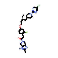 CC[C@@H](CCOc1ccc(CC(=O)N2Cc3nc(C)[nH]c3C2)c(F)c1)CC1CCN(c2ncc(Cl)cn2)CC1